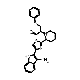 Cc1c(-c2csc(C3CCCCN3C(C=O)COc3ccccc3)n2)[nH]c2ccccc12